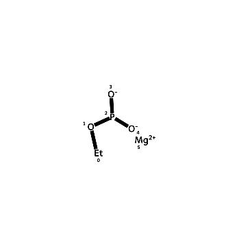 CCOP([O-])[O-].[Mg+2]